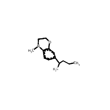 CCCC(C)c1ccc2c(c1)OCCN2C